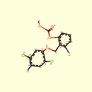 COC(=O)Oc1cccc(I)c1COc1cc(Cl)c(C)cc1Cl